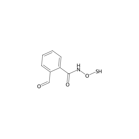 O=Cc1ccccc1C(=O)NOS